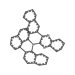 c1ccc2cc(-c3nc4ccccc4nc3N3c4c(ccc5ccccc45)-c4cccc5cccc3c45)ccc2c1